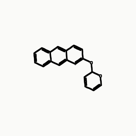 [c]1c(OC2C=CC=CO2)ccc2cc3ccccc3cc12